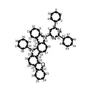 c1ccc(-c2cc(-n3c4ccccc4c4c3ccc3c5c6oc7ccccc7c6ccc5n(-c5ccccc5)c34)nc(-c3ccccc3)n2)cc1